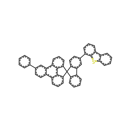 c1ccc(-c2ccc3c(c2)c2cccc4c2c2c(cccc32)C42c3ccccc3-c3cc(-c4cccc5c4sc4ccccc45)ccc32)cc1